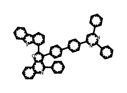 c1ccc(-c2cc(-c3ccc(-c4ccc(-c5c(-c6cccc7c6sc6ccccc67)oc6c5c(-c5ccccc5)nc5ccccc56)cc4)cc3)nc(-c3ccccc3)n2)cc1